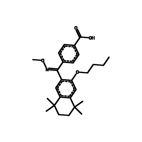 CCCCOc1cc2c(cc1C(=NOC)c1ccc(C(=O)O)cc1)C(C)(C)CCC2(C)C